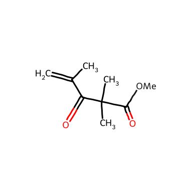 C=C(C)C(=O)C(C)(C)C(=O)OC